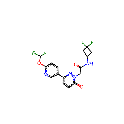 O=C(Cn1nc(-c2ccc(OC(F)F)nc2)ccc1=O)NC1CC(F)(F)C1